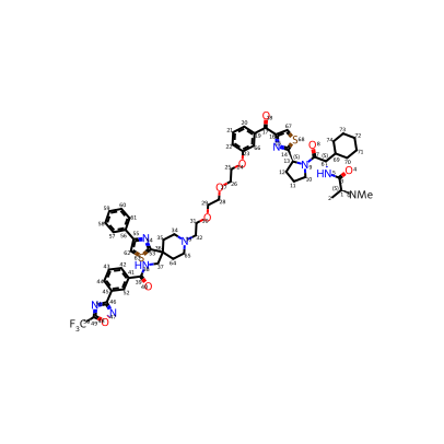 CN[C@@H](C)C(=O)N[C@H](C(=O)N1CCC[C@H]1c1nc(C(=O)c2cccc(OCCOCCOCCN3CCC(CNC(=O)c4cccc(-c5noc(C(F)(F)F)n5)c4)(c4nc(-c5ccccc5)cs4)CC3)c2)cs1)C1CCCCC1